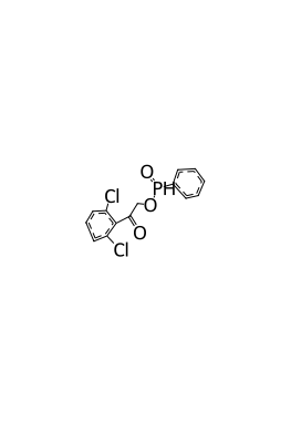 O=C(CO[PH](=O)c1ccccc1)c1c(Cl)cccc1Cl